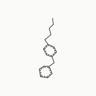 CCCCCc1ccc(Cc2ccccc2)cc1